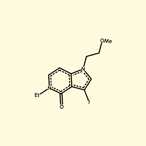 CCn1ccc2c(c(I)cn2CCOC)c1=O